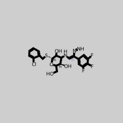 N=N/C(=C\NC1C(O)[C@@H](SCc2ccccc2Cl)OC(CO)[C@@H]1O)c1cc(F)c(F)c(F)c1